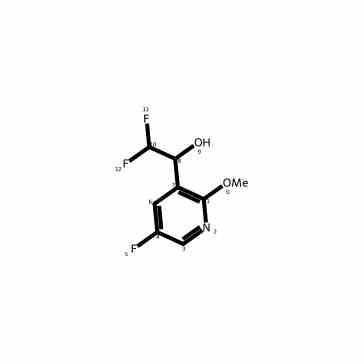 COc1ncc(F)cc1C(O)C(F)F